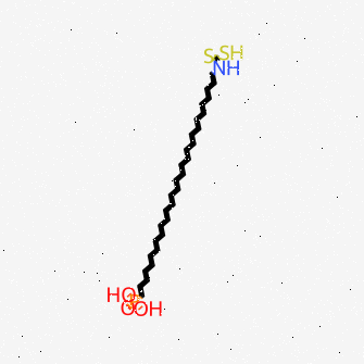 O=P(O)(O)CCCCCCCCCCCCCCCCCCCCCCCCCCCCCCNC(=S)S